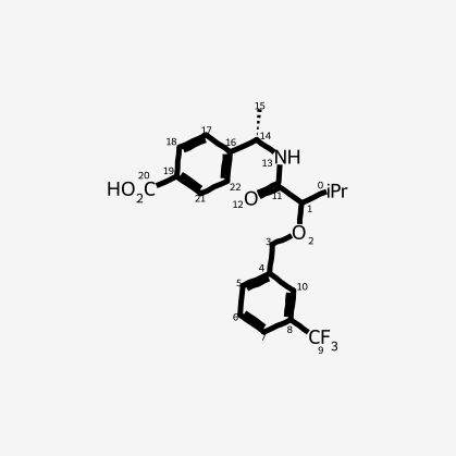 CC(C)C(OCc1cccc(C(F)(F)F)c1)C(=O)N[C@@H](C)c1ccc(C(=O)O)cc1